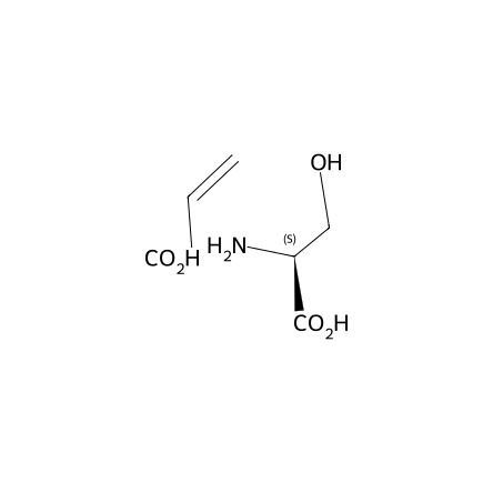 C=CC(=O)O.N[C@@H](CO)C(=O)O